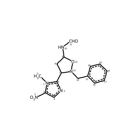 Cn1c([N+](=O)[O-])cnc1C1CC(NC=O)ON1Cc1ccccc1